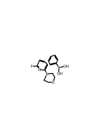 Fc1cccc(N2CCOCC2)n1.OB(O)c1ccccc1